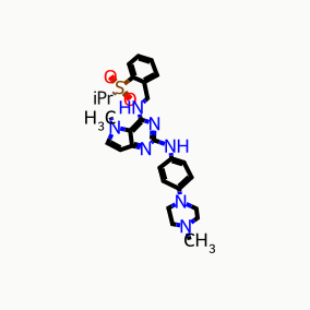 CC(C)S(=O)(=O)c1ccccc1CNc1nc(Nc2ccc(N3CCN(C)CC3)cc2)nc2ccn(C)c12